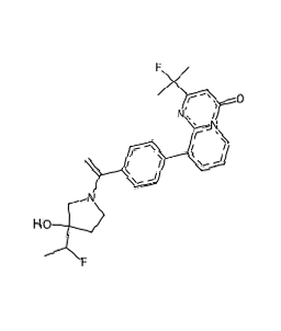 C=C(c1ccc(-c2cccn3c(=O)cc(C(C)(C)F)nc23)cc1)N1CCC(O)(C(C)F)C1